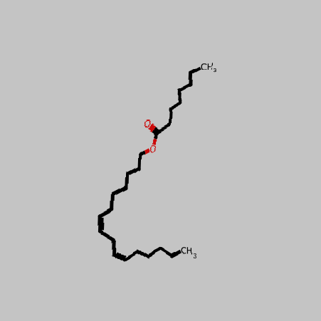 CCCCC/C=C\C/C=C\CCCCCCOC(=O)CCCCCCC